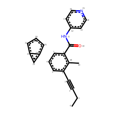 CCC#Cc1cccc(C(=O)Nc2ccncc2)c1C.c1cc2cc-2c1